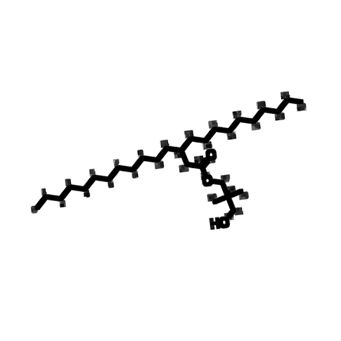 CCCCCCCCCCCCC(CCCCCCCCCC)CC(=O)OCC(C)(C)CO